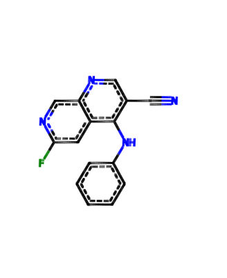 N#Cc1cnc2cnc(F)cc2c1Nc1ccccc1